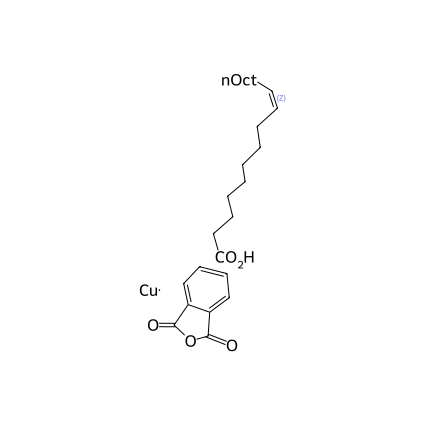 CCCCCCCC/C=C\CCCCCCCC(=O)O.O=C1OC(=O)c2ccccc21.[Cu]